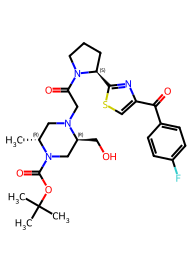 C[C@@H]1CN(CC(=O)N2CCC[C@H]2c2nc(C(=O)c3ccc(F)cc3)cs2)[C@@H](CO)CN1C(=O)OC(C)(C)C